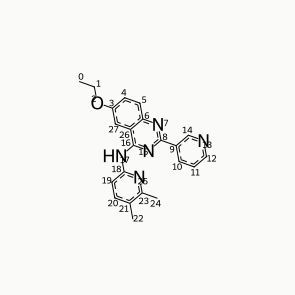 CCOc1ccc2nc(-c3cccnc3)nc(Nc3ccc(C)c(C)n3)c2c1